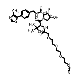 Cc1ncsc1-c1ccc(CNC(=O)[C@@H]2[C@H](F)[C@@H](O)CN2C(=O)[C@@H](NC(=O)COCCOCCOCCN=[N+]=[N-])C(C)(C)C)cc1